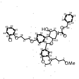 COCCCN1CCOc2ccc(COC3CN(C(=O)OCc4ccccc4)CC(O)C3c3ccc(OCCCOc4ccccc4Cl)cc3)cc21